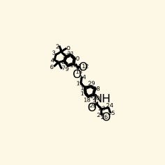 CC1(C)CCC(C)(C)c2cc(C(=O)OCCc3ccc(NC(=O)C4CCOC4)cc3)ccc21